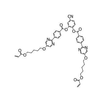 C=CC(=O)OCCCCCOc1cnc(-c2ccc(C(=O)Oc3ccc(C#N)cc3OC(=O)c3ccc(-c4ncc(OCCCCCOC(=O)C=C)cn4)cc3)cc2)nc1